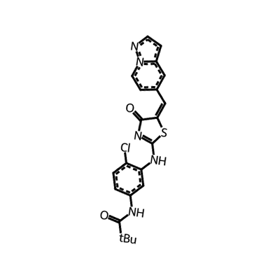 CC(C)(C)C(=O)Nc1ccc(Cl)c(NC2=NC(=O)C(=Cc3ccn4nccc4c3)S2)c1